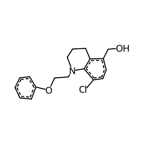 OCc1ccc(Cl)c2c1CCCN2CCOc1ccccc1